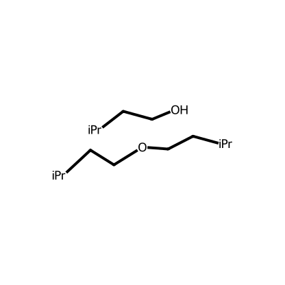 CC(C)CCO.CC(C)CCOCCC(C)C